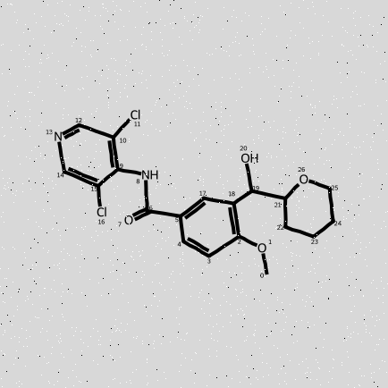 COc1ccc(C(=O)Nc2c(Cl)cncc2Cl)cc1C(O)C1CCCCO1